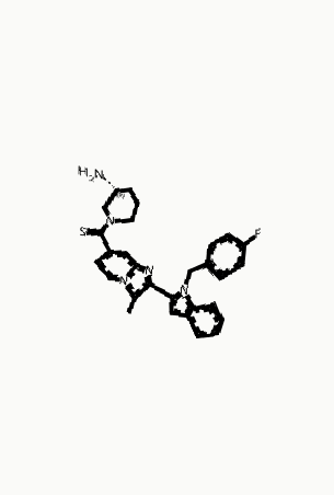 Cc1c(-c2cc3ccccc3n2Cc2ccc(F)cc2)nc2cc(C(=S)N3CCC[C@@H](N)C3)ccn12